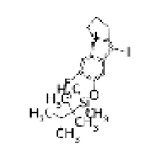 CC(C)C(C)(C)[Si](C)(C)Oc1cc2c(I)c3n(c2cc1F)CCC3